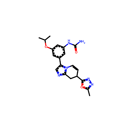 Cc1nnc(C2C=Cn3c(-c4cc(NC(N)=O)cc(OC(C)C)c4)cnc3C2)o1